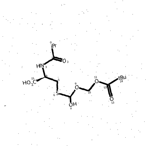 CC(C)C(=O)N[C@@H](CSC(O)OCOC(=O)C(C)(C)C)C(=O)O